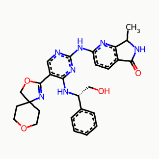 CC1NC(=O)c2ccc(Nc3ncc(C4=NC5(CCOCC5)CO4)c(N[C@H](CO)c4ccccc4)n3)nc21